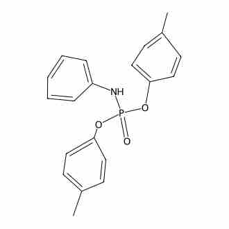 Cc1ccc(OP(=O)(Nc2ccccc2)Oc2ccc(C)cc2)cc1